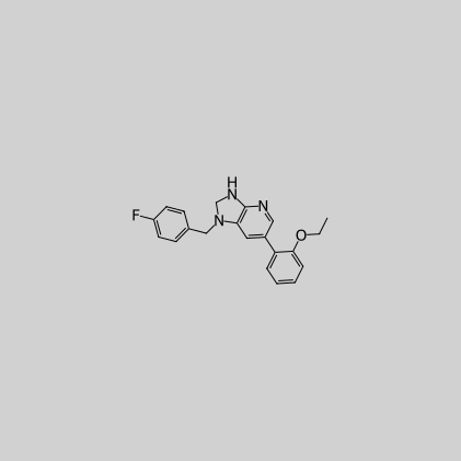 CCOc1ccccc1-c1cnc2c(c1)N(Cc1ccc(F)cc1)CN2